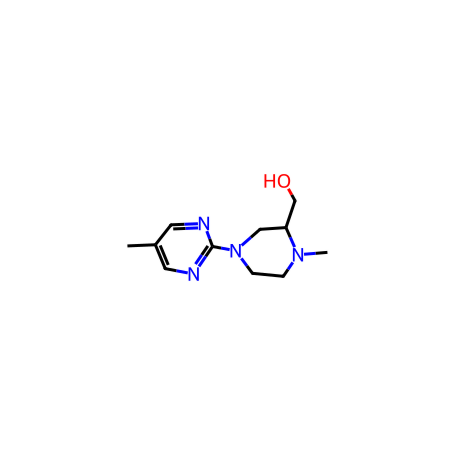 Cc1cnc(N2CCN(C)C(CO)C2)nc1